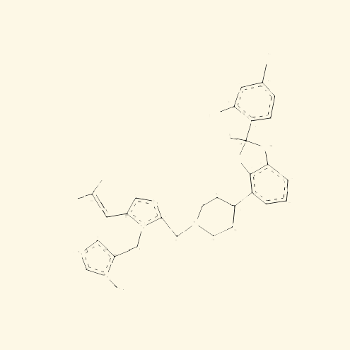 CCn1cncc1Cn1c(/C=C(\C)C(=O)O)cnc1CN1CCC(c2cccc3c2OC(C)(c2ccc(Cl)cc2F)O3)CC1